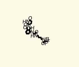 O=C(CNc1cccc2c1CN(C1CCC(=O)NC1=O)C2=O)NCCCCNC(=O)C(F)(F)F